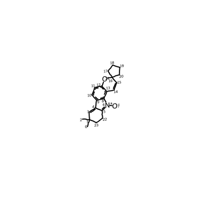 CC1(C)C=C2C(=[N+]([O-])c3c2ccc2c3C=CC3(CCCC3)O2)CC1